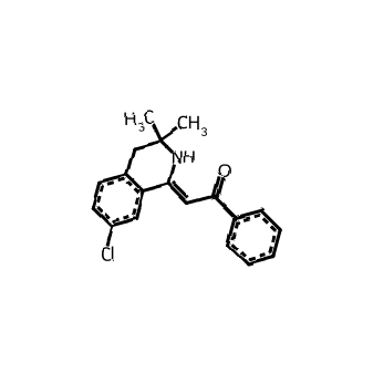 CC1(C)Cc2ccc(Cl)cc2C(=CC(=O)c2ccccc2)N1